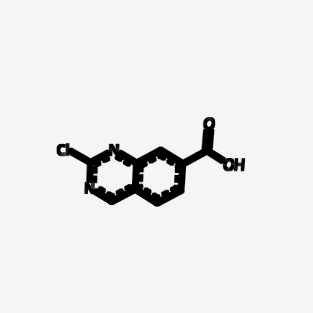 O=C(O)c1ccc2cnc(Cl)nc2c1